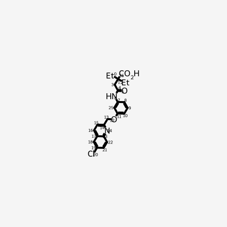 CCC(CC)(CC(=O)Nc1cccc(OCc2ccc3cc(Cl)ccc3n2)c1)C(=O)O